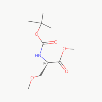 COC[C@@H](NC(=O)OC(C)(C)C)C(=O)OC